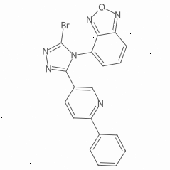 Brc1nnc(-c2ccc(-c3ccccc3)nc2)n1-c1cccc2nonc12